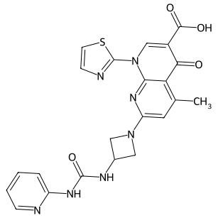 Cc1cc(N2CC(NC(=O)Nc3ccccn3)C2)nc2c1c(=O)c(C(=O)O)cn2-c1nccs1